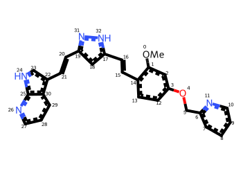 COc1cc(OCc2ccccn2)ccc1C=Cc1cc(C=Cc2c[nH]c3ncccc23)n[nH]1